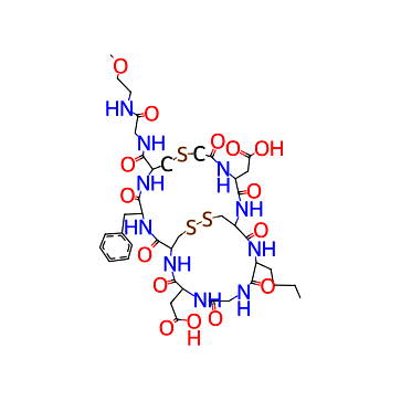 CCCCC1NC(=O)C2CSSCC(NC(=O)C(CC(=O)O)NC(=O)CNC1=O)C(=O)NC(Cc1ccccc1)C(=O)NC(C(=O)NCC(=O)NCCOC)CSCC(=O)NC(CC(=O)O)C(=O)N2